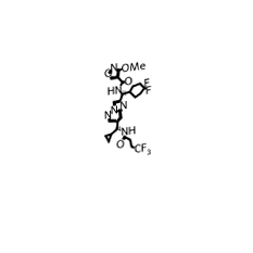 COc1nocc1C(=O)N[C@H](c1cn2ncc([C@H](NC(=O)CCC(F)(F)F)C3CC3)cc2n1)C1CCC(F)(F)CC1